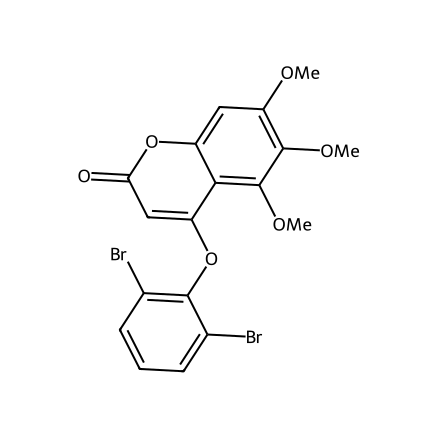 COc1cc2oc(=O)cc(Oc3c(Br)cccc3Br)c2c(OC)c1OC